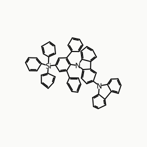 c1ccc(-c2cc([Si](c3ccccc3)(c3ccccc3)c3ccccc3)cc(-c3ccccc3)c2-n2c3ccccc3c3cc(-n4c5ccccc5c5ccccc54)ccc32)cc1